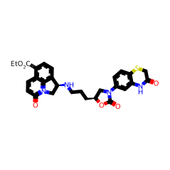 CCOC(=O)c1ccc2c3c1ccc(=O)n3C[C@@H]2NCCC[C@H]1CN(c2ccc3c(c2)NC(=O)CS3)C(=O)O1